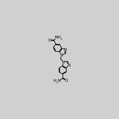 NC(=O)c1ccc2c(c1)ncn2Cn1cnc2cc(C(N)=O)ccc21